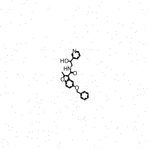 Cc1oc2ccc(OCc3ccccc3)cc2c1C(=O)NCC(O)c1cccnc1